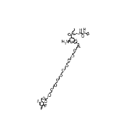 CCCN(CCCNC(=O)NC1CCC1)C(=O)C1=Cc2sc(CN(C)CCOCCOCCOCCOCCOCCOCCOCCOCCOCCOCCC(=O)Oc3c(F)c(F)cc(F)c3F)cc2N=C(N)C1